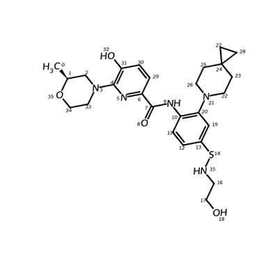 C[C@H]1CN(c2nc(C(=O)Nc3ccc(SNCCO)cc3N3CCC4(CC3)CC4)ccc2O)CCO1